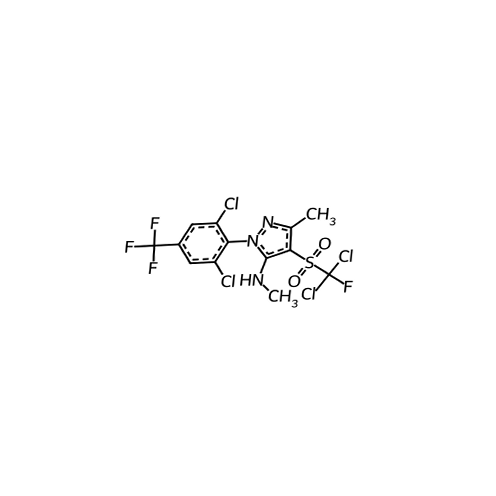 CNc1c(S(=O)(=O)C(F)(Cl)Cl)c(C)nn1-c1c(Cl)cc(C(F)(F)F)cc1Cl